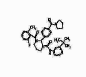 Cc1cccc(F)c1C(=O)N1CCC[C@H](C(=O)Nc2cccc(C(C)(C)C)c2)C1c1ccc(C(=O)N2CCCC2)cc1